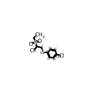 CCS(=O)(=O)C(Cl)CSc1ccc(Cl)cc1